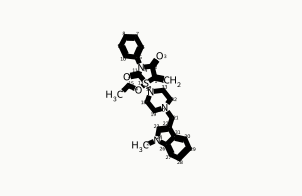 C=C1C(=O)N(c2ccccc2)C(=O)S1(OCC)N1CCN(Cc2cn(C)c3ccccc23)CC1